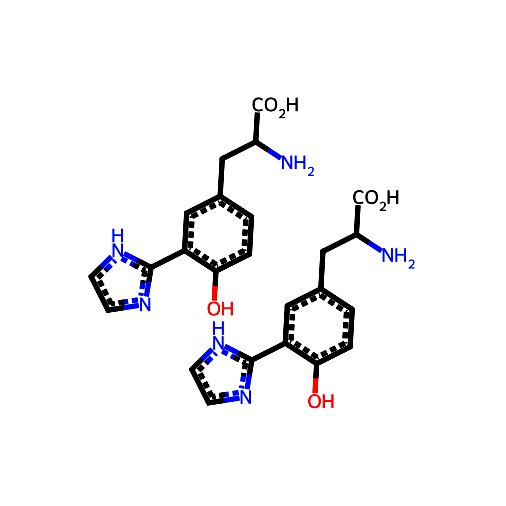 NC(Cc1ccc(O)c(-c2ncc[nH]2)c1)C(=O)O.NC(Cc1ccc(O)c(-c2ncc[nH]2)c1)C(=O)O